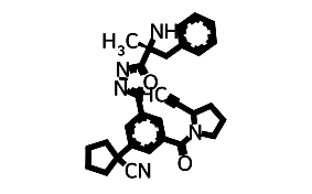 C#CC1CCCN1C(=O)c1cc(-c2nnc([C@](C)(N)Cc3ccccc3)o2)cc(C2(C#N)CCCC2)c1